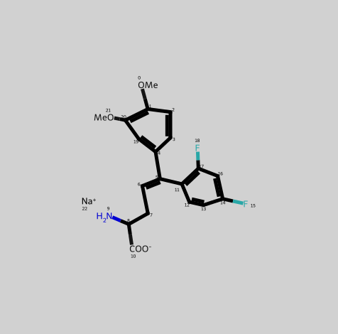 COc1ccc(C(=CCC(N)C(=O)[O-])c2ccc(F)cc2F)cc1OC.[Na+]